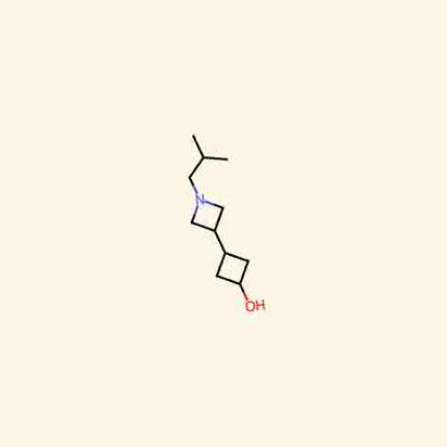 CC(C)CN1CC(C2CC(O)C2)C1